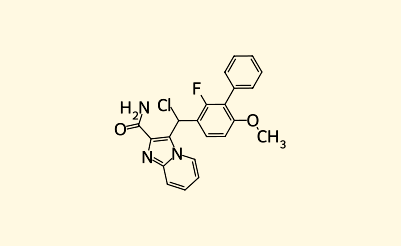 COc1ccc(C(Cl)c2c(C(N)=O)nc3ccccn23)c(F)c1-c1ccccc1